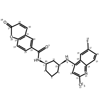 O=C(N[C@@H]1CCC[C@H](Nc2cc(C(F)(F)F)nc3ccc(F)cc23)C1)c1ccc2oc(=O)ccc2c1